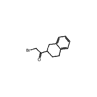 O=C(CBr)C1CCc2ccccc2C1